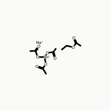 CC(=O)O[BH-](OC(C)=O)OC(C)=O.CCOC(C)=O.[Na+]